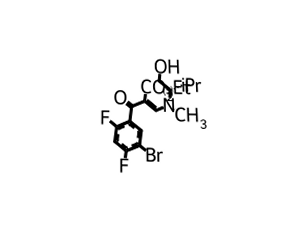 CCOC(=O)C(=CN(C)[C@H](CO)C(C)C)C(=O)c1cc(Br)c(F)cc1F